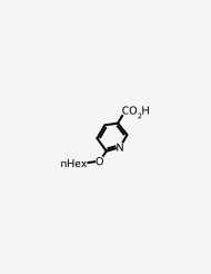 CCCCCCOc1ccc(C(=O)O)cn1